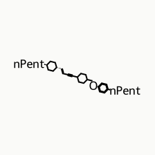 CCCCCc1ccc(OCC2CCC(C#CC=C[C@H]3CC[C@H](CCCCC)CC3)CC2)cc1